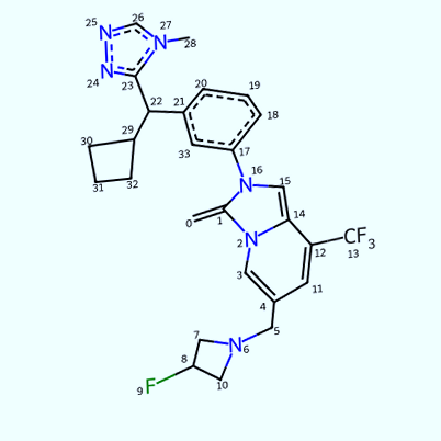 C=C1N2C=C(CN3CC(F)C3)C=C(C(F)(F)F)C2=CN1c1cccc(C(c2nncn2C)C2CCC2)c1